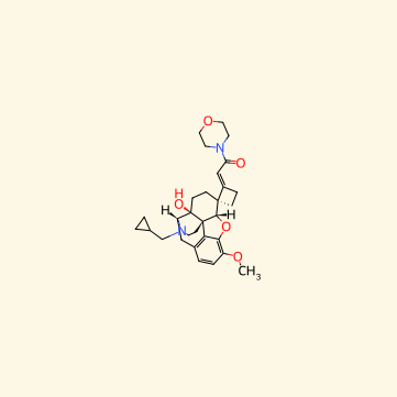 COc1ccc2c3c1O[C@H]1[C@@]4(CC/C4=C\C(=O)N4CCOCC4)CC[C@@]4(O)[C@@H](C2)N(CC2CC2)CC[C@]314